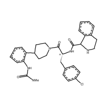 CNC(=O)Nc1ccccc1C1CCN(C(=O)[C@@H](Cc2ccc(Cl)cc2)NC(=O)C2N[CH]Cc3ccccc32)CC1